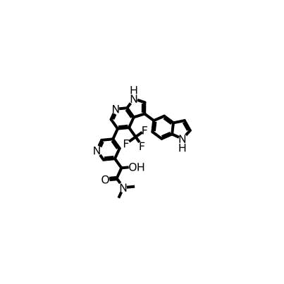 CN(C)C(=O)C(O)c1cncc(-c2cnc3[nH]cc(-c4ccc5[nH]ccc5c4)c3c2C(F)(F)F)c1